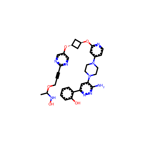 CC(NO)OCC#Cc1ncc(O[C@H]2C[C@H](Oc3cc(N4CCN(c5cc(-c6ccccc6O)nnc5N)CC4)ccn3)C2)cn1